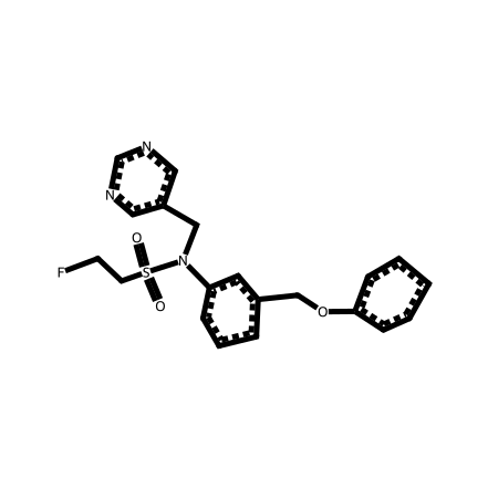 O=S(=O)(CCF)N(Cc1cncnc1)c1cccc(COc2ccccc2)c1